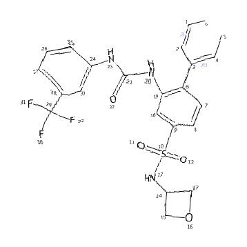 C/C=C\C(=C/C)c1ccc(S(=O)(=O)NC2COC2)cc1NC(=O)Nc1cccc(C(F)(F)F)c1